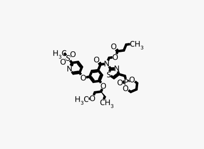 CCCC(=O)OCN(C(=O)c1cc(Oc2ccc(S(C)(=O)=O)nc2)cc(O[C@@H](CC)COC)c1)c1nc(CP2(=O)OCCCO2)cs1